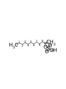 CCCCCCCCCCC(C)OS(=O)(=O)O